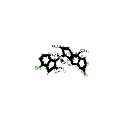 CC1=Cc2c(Br)cccc2C1[Si](C)(C)C1C(C)=Cc2c1cc1cc(Br)ccc1c2C